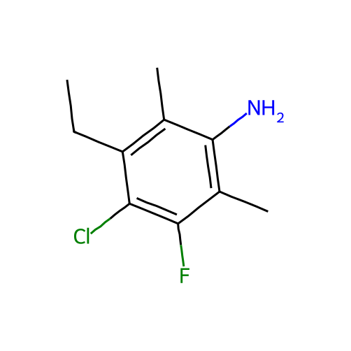 CCc1c(C)c(N)c(C)c(F)c1Cl